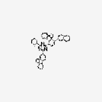 CC1CC=CC=C1c1nc(-c2ccc3c(c2)oc2ccccc23)nc(-c2ccc(-c3ccc4ccccc4c3)c3oc4ccccc4c23)n1